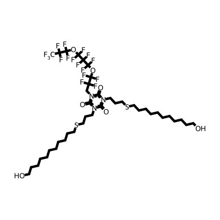 O=c1n(CCCSCCCCCCCCCCCO)c(=O)n(CC(F)(F)C(F)(F)OC(F)(F)C(F)(F)C(F)(F)OC(F)(F)C(F)(F)C(F)(F)F)c(=O)n1CCCSCCCCCCCCCCCO